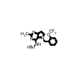 CCCCNc1nc(C)nc2ccn(Cc3ccccc3OC(F)(F)F)c12